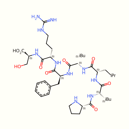 CC[C@H](C)[C@H](NC(=O)[C@H](CC(C)C)NC(=O)[C@@H](NC(=O)[C@@H]1CCCN1)[C@@H](C)CC)C(=O)N[C@@H](Cc1ccccc1)C(=O)N[C@@H](CCCNC(=N)N)C(=O)N[C@@H](CO)C(=O)O